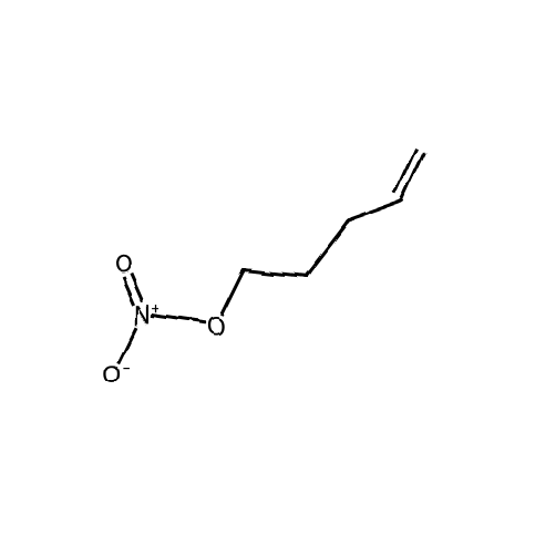 C=CCCCO[N+](=O)[O-]